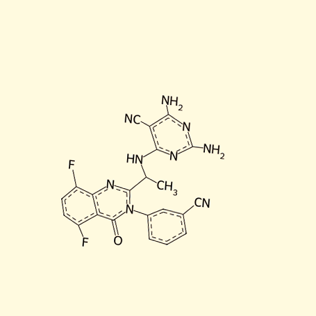 CC(Nc1nc(N)nc(N)c1C#N)c1nc2c(F)ccc(F)c2c(=O)n1-c1cccc(C#N)c1